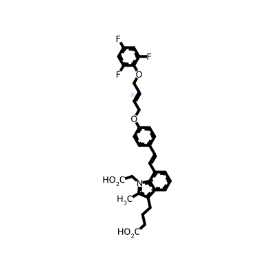 Cc1c(CCCC(=O)O)c2cccc(C=Cc3ccc(OC/C=C/COc4c(F)cc(F)cc4F)cc3)c2n1CC(=O)O